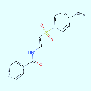 Cc1ccc(S(=O)(=O)C=CNC(=O)c2ccccc2)cc1